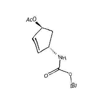 CC(=O)O[C@@H]1C=C[C@@H](NC(=O)OC(C)(C)C)C1